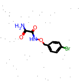 NC(=O)C(=O)NOCc1ccc(Br)cc1